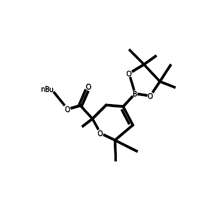 CCCCOC(=O)C1(C)CC(B2OC(C)(C)C(C)(C)O2)=CC(C)(C)O1